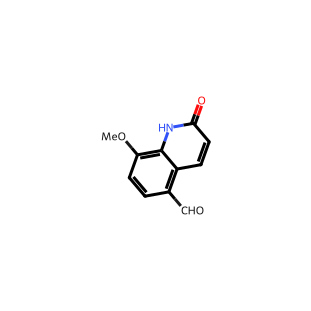 COc1ccc(C=O)c2ccc(=O)[nH]c12